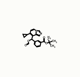 CC(C)(C)OC(=O)c1cccc(C(OC=O)c2c(C3CC3)ccn3cncc23)c1